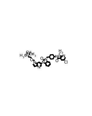 Cc1ncc(Cl)cc1C(=O)NC1CCC(Cn2c(=O)n(-c3cnc4ccn(COCC[Si](C)(C)C)c4c3)c3ccccc32)CC1